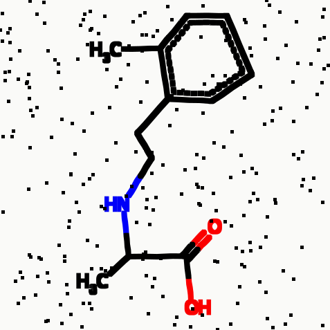 Cc1ccccc1CCNC(C)C(=O)O